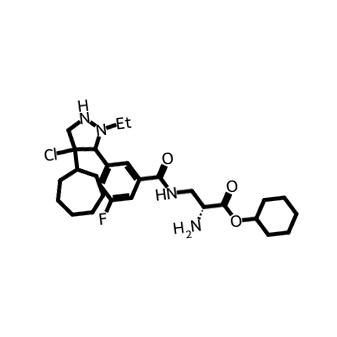 CCN1NCC(Cl)(C2CCCCCC2)C1c1cc(F)cc(C(=O)NC[C@@H](N)C(=O)OC2CCCCC2)c1